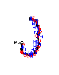 COC(=O)Cc1cn(C(C)(C)CCOC(C)(C)CNC(=O)CCNC(=O)c2nc(NC(=O)c3cc(NC(=O)CCNC(=O)c4nc(NC(=O)CCCNC(=O)c5cc(NC(=O)c6nc(NC(=O)CCNC(=O)c7cc(NC(=O)c8nccn8C)cn7C)cn6C)cn5C)cn4C)cn3C)cn2C)nn1